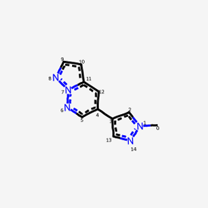 Cn1cc(-c2cnn3nccc3c2)cn1